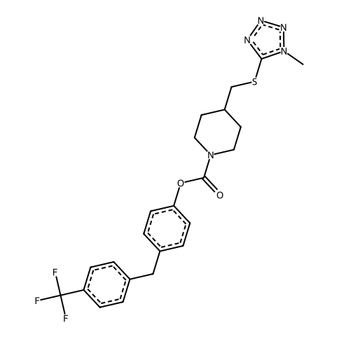 Cn1nnnc1SCC1CCN(C(=O)Oc2ccc(Cc3ccc(C(F)(F)F)cc3)cc2)CC1